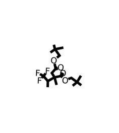 CC(C(F)(F)F)C(C)(CC(=O)OCC(C)(C)C)C(=O)OCC(C)(C)C